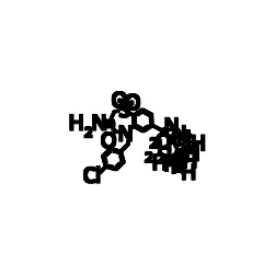 [2H]C([2H])([2H])C(c1nnc(-c2ccc3c(c2)N(Cc2ccc(Cl)cc2)C(=O)[C@@H](N)CS3(=O)=O)o1)(C([2H])([2H])[2H])C([2H])([2H])[2H]